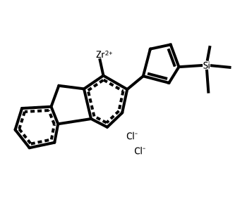 C[Si](C)(C)C1=CCC(c2ccc3c([c]2[Zr+2])Cc2ccccc2-3)=C1.[Cl-].[Cl-]